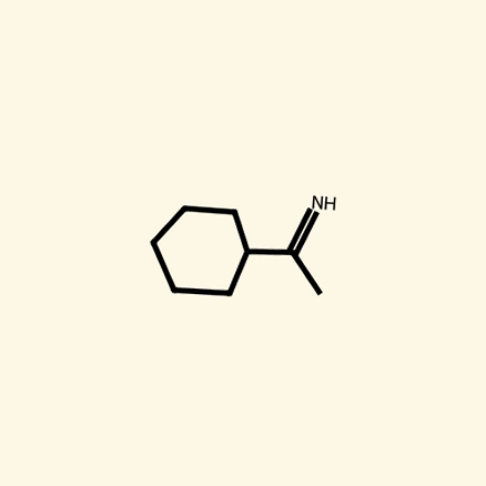 CC(=N)C1CCCCC1